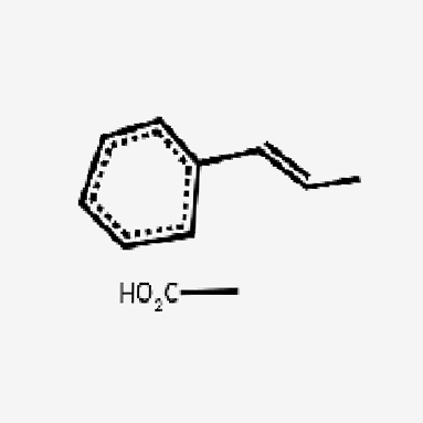 CC(=O)O.CC=Cc1ccccc1